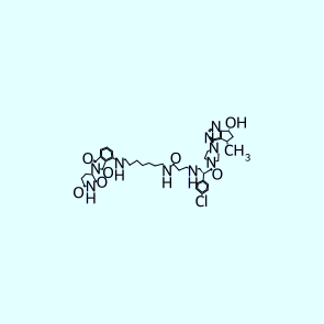 C[C@@H]1C[C@@H](O)c2ncnc(N3CCN(C(=O)[C@H](CNCCC(=O)NCCCCCCCNc4cccc5c4C(=O)N(C4CCC(=O)NC4=O)C5=O)c4ccc(Cl)cc4)CC3)c21